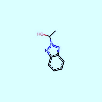 CC(O)n1nc2ccccc2n1